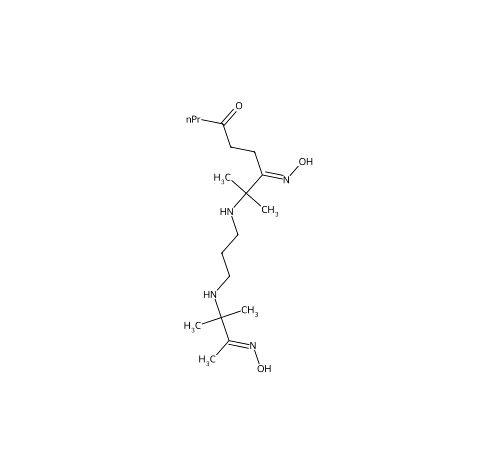 CCCC(=O)CC/C(=N\O)C(C)(C)NCCCNC(C)(C)/C(C)=N/O